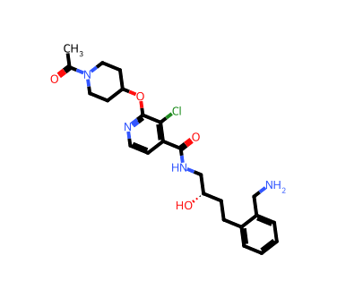 CC(=O)N1CCC(Oc2nccc(C(=O)NC[C@@H](O)CCc3ccccc3CN)c2Cl)CC1